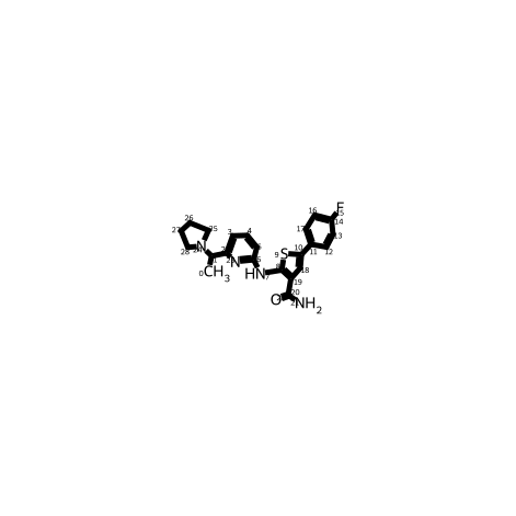 CC(c1cccc(Nc2sc(-c3ccc(F)cc3)cc2C(N)=O)n1)N1CCCC1